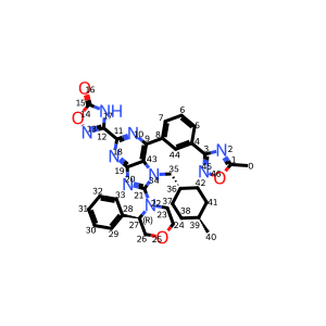 Cc1nc(-c2cccc(-c3nc(-c4noc(=O)[nH]4)nc4nc(N5CCOC[C@H]5c5ccccc5)n(C[C@H]5CC[C@H](C)CC5)c34)c2)no1